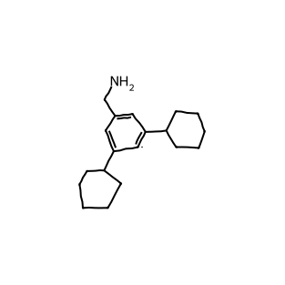 NCc1cc(C2CCCCC2)[c]c(C2CCCCC2)c1